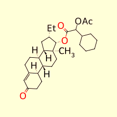 CC[C@H]1C[C@H]2[C@@H]3CCC4=CC(=O)CC[C@@H]4[C@H]3CC[C@]2(C)[C@H]1OC(=O)C(OC(C)=O)C1CCCCC1